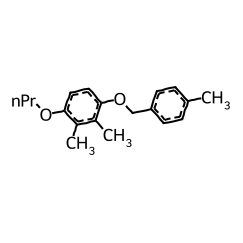 CCCOc1ccc(OCc2ccc(C)cc2)c(C)c1C